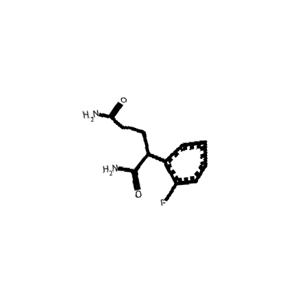 NC(=O)CCC(C(N)=O)c1ccccc1F